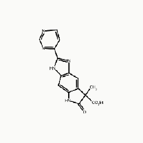 CCOC(=O)C1(C)C(=O)Nc2cc3[nH]c(-c4ccncn4)nc3cc21